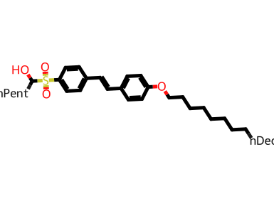 CCCCCCCCCCCCCCCCCCOc1ccc(C=Cc2ccc(S(=O)(=O)C(O)CCCCC)cc2)cc1